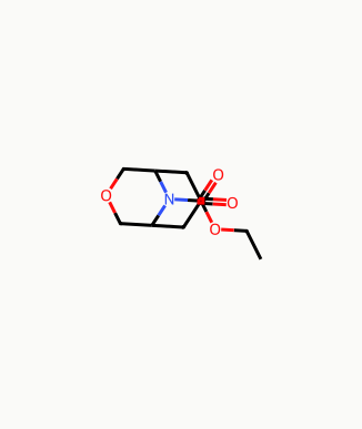 CCOC(=O)N1C2COCC1CC(=O)C2